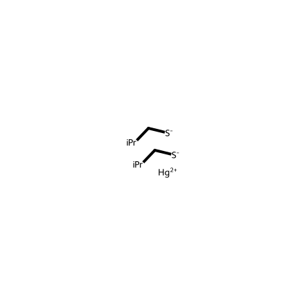 CC(C)C[S-].CC(C)C[S-].[Hg+2]